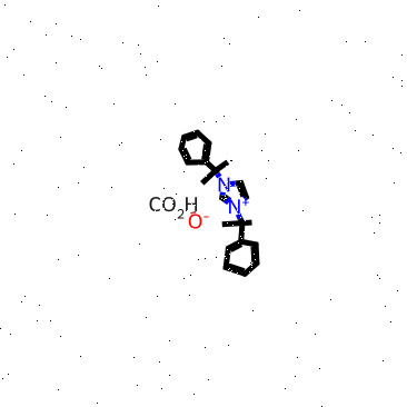 CC(C)(c1ccccc1)n1cc[n+](C(C)(C)c2ccccc2)c1.O=C([O-])O